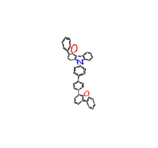 c1ccc2c(c1)oc1c(-c3ccc(-c4ccc(-n5c6ccccc6c6c7oc8ccccc8c7ccc65)cc4)cc3)cccc12